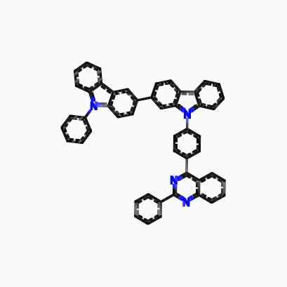 c1ccc(-c2nc(-c3ccc(-n4c5ccccc5c5ccc(-c6ccc7c(c6)c6ccccc6n7-c6ccccc6)cc54)cc3)c3ccccc3n2)cc1